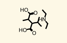 CC(C)C(C(=O)O)C(C)C(=O)O.CCNCC